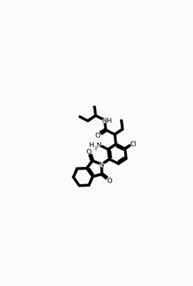 CCC(C)NC(=O)C(CC)c1c(Cl)ccc(N2C(=O)C3=C(CCCC3)C2=O)c1N